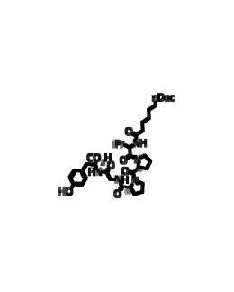 CCCCCCCCCCCCCCCC(=O)NC(C(=O)N1CCC[C@H]1C(=O)N1CCC[C@H]1C(=O)NCC(=O)N[C@@H](Cc1ccc(O)cc1)C(=O)O)C(C)C